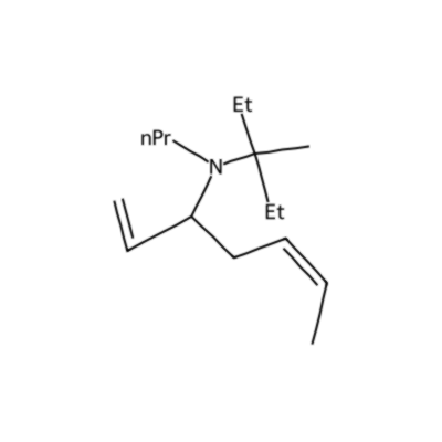 C=CC(C/C=C\C)N(CCC)C(C)(CC)CC